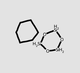 C1CCCCC1.O1[SiH2]O[SiH2]O[SiH2]1